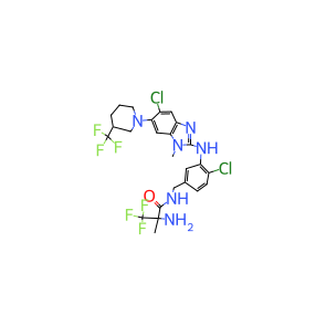 Cn1c(Nc2cc(CNC(=O)C(C)(N)C(F)(F)F)ccc2Cl)nc2cc(Cl)c(N3CCCC(C(F)(F)F)C3)cc21